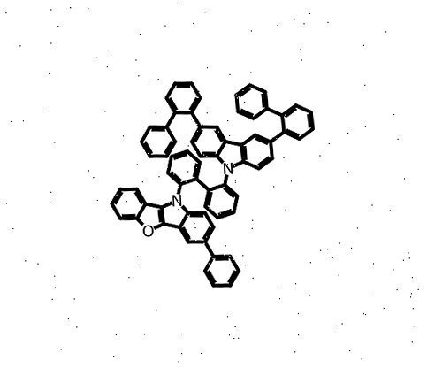 c1ccc(-c2ccc3c(c2)c2oc4ccccc4c2n3-c2ccccc2-c2ccccc2-n2c3ccc(-c4ccccc4-c4ccccc4)cc3c3cc(-c4ccccc4-c4ccccc4)ccc32)cc1